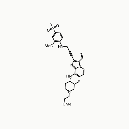 C=Cc1c(C#CCNc2ccc(S(C)(=O)=O)cc2OC)nc2c(N[C@@H]3CCN(CCOC)C[C@@H]3F)cccn12